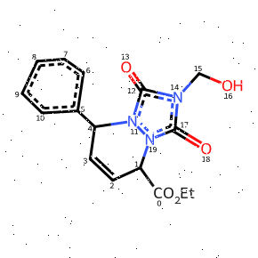 CCOC(=O)C1C=CC(c2ccccc2)n2c(=O)n(CO)c(=O)n21